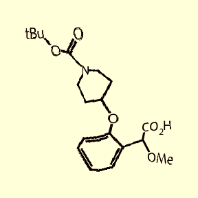 COC(C(=O)O)c1ccccc1OC1CCN(C(=O)OC(C)(C)C)CC1